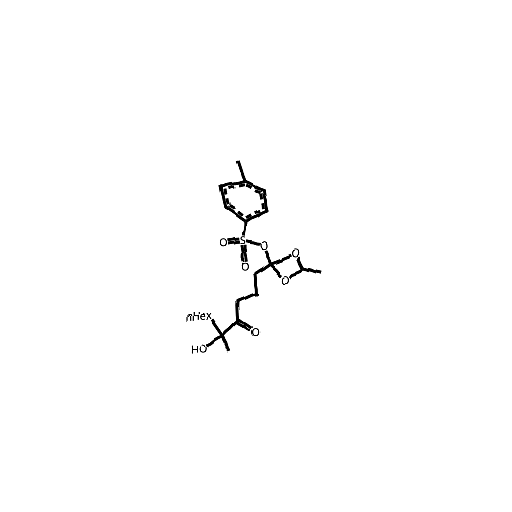 CCCCCCC(C)(O)C(=O)CCCC1(OS(=O)(=O)c2ccc(C)cc2)OC(C)O1